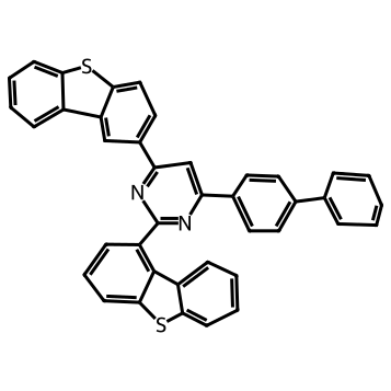 c1ccc(-c2ccc(-c3cc(-c4ccc5sc6ccccc6c5c4)nc(-c4cccc5sc6ccccc6c45)n3)cc2)cc1